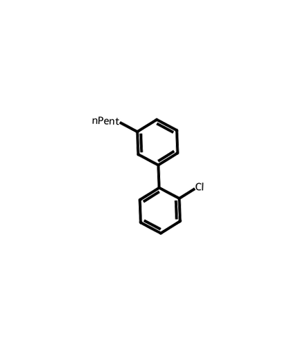 CCCCCc1cccc(-c2ccccc2Cl)c1